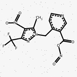 Cc1c([N+](=O)[O-])c(C(F)(F)F)nn1Cc1ccncc1C(=O)ON=O